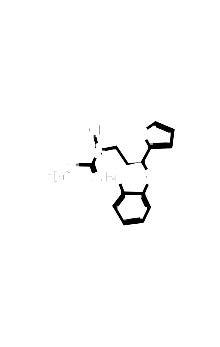 CN(CC[C@H](Oc1ccccc1Br)c1cccs1)C(=O)OC(C)(C)C